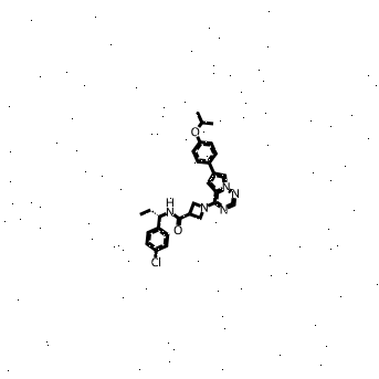 CC[C@H](NC(=O)C1CN(c2ncnn3cc(-c4ccc(OC(C)C)cc4)cc23)C1)c1ccc(Cl)cc1